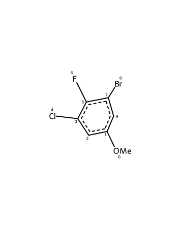 COc1cc(Cl)c(F)c(Br)c1